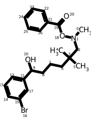 CN(CC(C)(C)CCCC(O)c1cccc(Br)c1)OC(=O)c1ccccc1